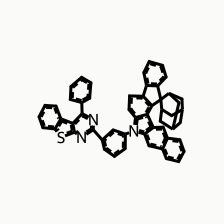 c1ccc(-c2nc(-c3cccc(-n4c5cc6ccccc6cc5c5c6c(ccc54)-c4ccccc4C64C5CC6CC(C5)CC4C6)c3)nc3sc4ccccc4c23)cc1